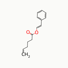 C=CCCCC(=O)OC=Cc1ccccc1